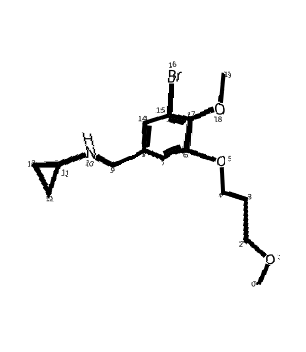 COCCCOc1cc(CNC2CC2)cc(Br)c1OC